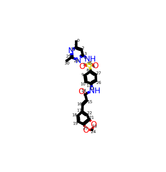 Cc1cc(NS(=O)(=O)c2ccc(NC(=O)C=Cc3ccc4c(c3)OCO4)cc2)nc(C)n1